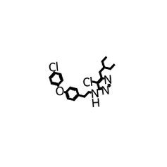 CCC(CC)Cc1ncnc(NCCc2ccc(Oc3ccc(Cl)cc3)cc2)c1Cl